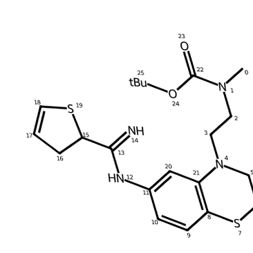 CN(CCN1CCSc2ccc(NC(=N)C3CC=CS3)cc21)C(=O)OC(C)(C)C